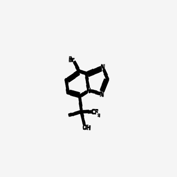 CC(O)(c1ccc(Br)c2ncnn12)C(F)(F)F